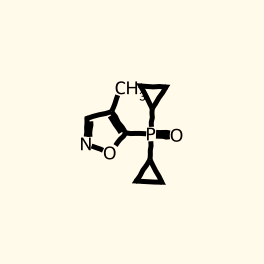 Cc1cnoc1P(=O)(C1CC1)C1CC1